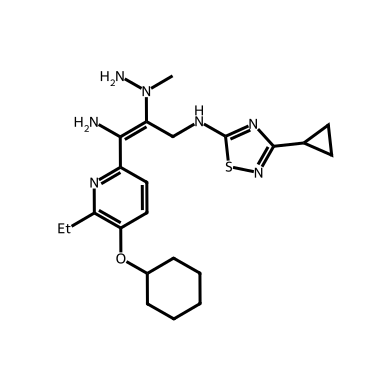 CCc1nc(/C(N)=C(\CNc2nc(C3CC3)ns2)N(C)N)ccc1OC1CCCCC1